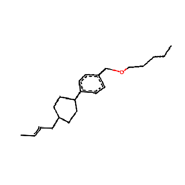 C/C=C/CC1CCC(c2ccc(COCCCCC)cc2)CC1